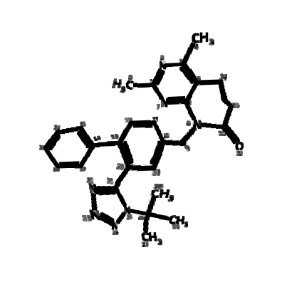 Cc1nc(C)c2c(n1)N(Cc1ccc(-c3ccccc3)c(-c3nnnn3C(C)(C)C)c1)C(=O)CC2